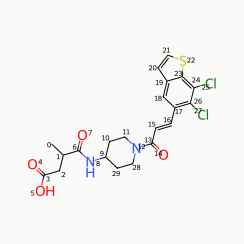 CC(CC(=O)O)C(=O)NC1CCN(C(=O)C=Cc2cc3ccsc3c(Cl)c2Cl)CC1